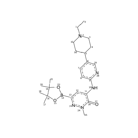 CCN1CCC(c2ccc(Nc3cc(B4OC(C)(C)C(C)(C)O4)nn(C)c3=O)nc2)CC1